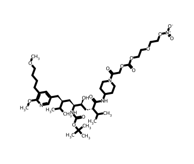 COCCCCc1cc(C[C@@H](C[C@H](NC(=O)OC(C)(C)C)[C@@H](O)C[C@H](C(=O)NC2CCN(C(=O)COC(=O)OCCOCCO[N+](=O)[O-])CC2)C(C)C)C(C)C)cnc1OC